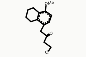 COc1ccc(CC(=O)CCCl)c2c1CCCC2